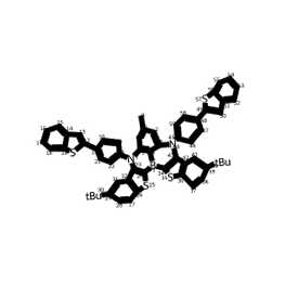 Cc1cc2c3c(c1)N(c1ccc(-c4cc5ccccc5s4)cc1)c1c(sc4ccc(C(C)(C)C)cc14)B3c1sc3ccc(C(C)(C)C)cc3c1N2c1ccc(-c2cc3ccccc3s2)cc1